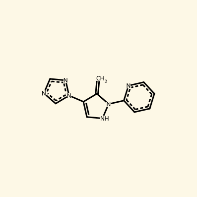 C=C1C(n2cncn2)=CNN1c1ccccn1